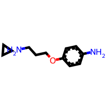 C1CC1.NCCCOc1ccc(N)cc1